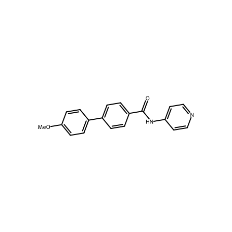 COc1ccc(-c2ccc(C(=O)Nc3ccncc3)cc2)cc1